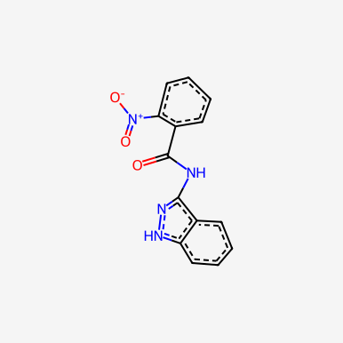 O=C(Nc1n[nH]c2ccccc12)c1ccccc1[N+](=O)[O-]